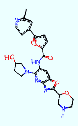 Cc1cc(-c2ccc(C(=O)Nc3cc4oc(C5CNCCO5)nc4nc3N3CCC(O)C3)o2)ccn1